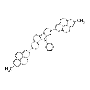 Cc1cc2ccc3cc(-c4ccc5c(ccc6c7ccc(-c8cc9ccc%10cc(C)cc%11ccc(c8)c9c%10%11)cc7n(-c7ccccc7)c56)c4)cc4ccc(c1)c2c34